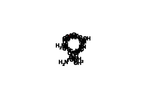 CC(C)C[C@@H]1NC(=O)[C@@H]2CCCN2C(=O)[C@@H](NC(=O)[C@H](CCCCN)NC(=O)[C@@H](N)CO)CSSC[C@@H](C(N)=O)NC(=O)[C@H](CO)NC(=O)[C@@H]2CCCN2C(=O)[C@H](C(C)C)NC(=O)[C@H](CC(=O)O)NC1=O